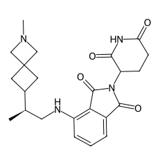 C[C@H](CNc1cccc2c1C(=O)N(C1CCC(=O)NC1=O)C2=O)C1CC2(C1)CN(C)C2